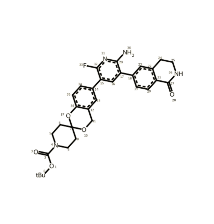 CC(C)(C)OC(=O)N1CCC2(CC1)OCc1cc(-c3cc(-c4ccc5c(c4)CCNC5=O)c(N)nc3F)ccc1O2